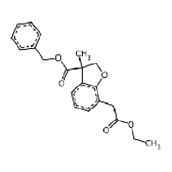 CCOC(=O)Cc1cccc2c1OCC2(C)C(=O)OCc1ccccc1